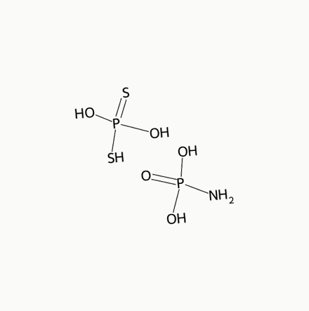 NP(=O)(O)O.OP(O)(=S)S